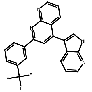 FC(F)(F)c1cccc(-c2cc(-c3c[nH]c4ncccc34)c3cccnc3n2)c1